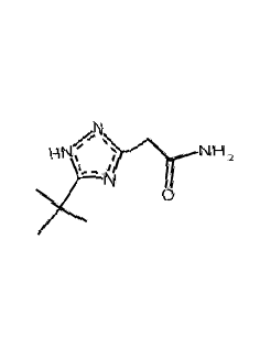 CC(C)(C)c1nc(CC(N)=O)n[nH]1